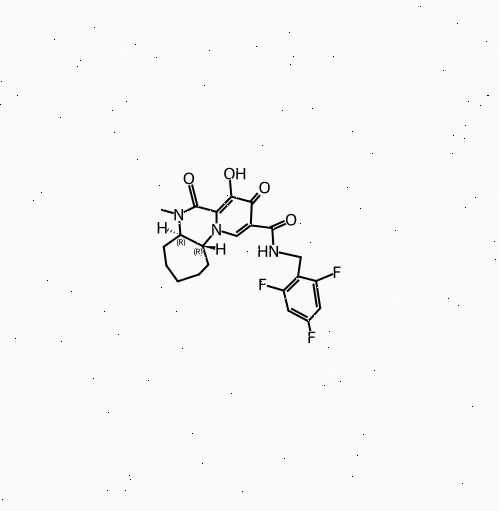 CN1C(=O)c2c(O)c(=O)c(C(=O)NCc3c(F)cc(F)cc3F)cn2[C@@H]2CCCCC[C@H]21